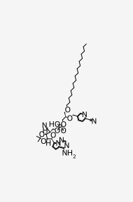 CCCCCCCCCCCCCCCCCCOC[C@H](COP(=O)(O)OC[C@@]1(C#N)O[C@@H](c2ccc3c(N)ncnn23)[C@@H]2OC(C)(C)O[C@@H]21)OCc1ccc(C#N)nc1